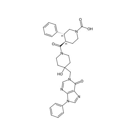 O=C(O)N1CC[C@@H](C(=O)N2CCC(O)(Cn3cnc4c(ncn4-c4ccccc4)c3=O)CC2)[C@H](c2ccccc2)C1